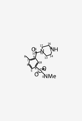 CNS(=O)(=O)c1ccc(C)c(C(=O)N2CCNCC2)c1